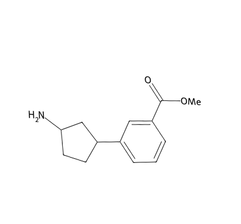 COC(=O)c1cccc(C2CCC(N)C2)c1